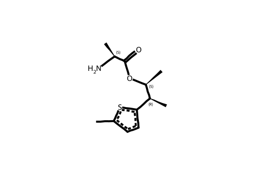 Cc1ccc([C@H](C)[C@H](C)OC(=O)[C@H](C)N)s1